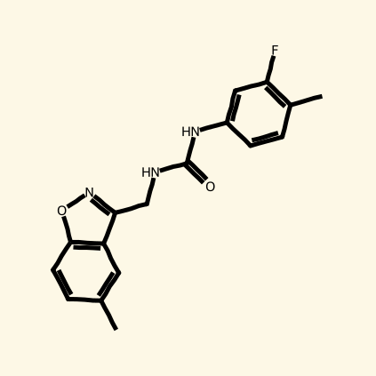 Cc1ccc2onc(CNC(=O)Nc3ccc(C)c(F)c3)c2c1